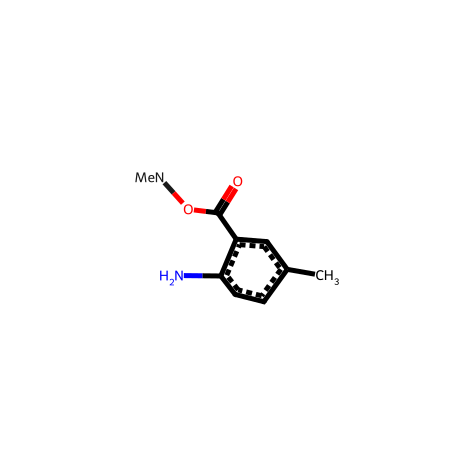 CNOC(=O)c1cc(C)ccc1N